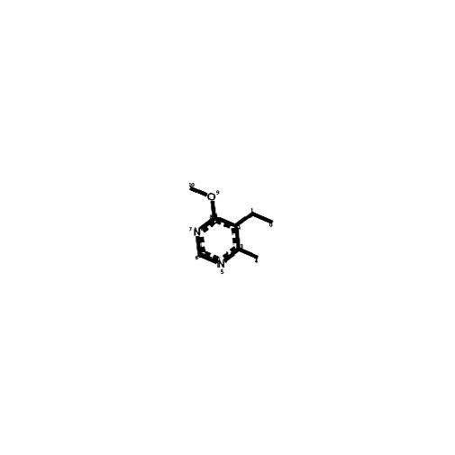 CCc1c(C)ncnc1OC